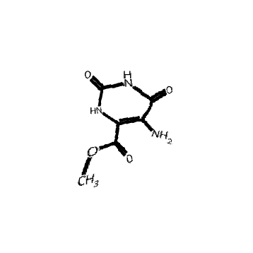 COC(=O)c1[nH]c(=O)[nH]c(=O)c1N